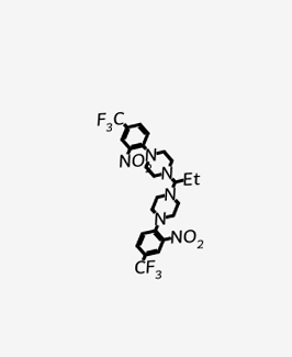 CCC(N1CCN(c2ccc(C(F)(F)F)cc2[N+](=O)[O-])CC1)N1CCN(c2ccc(C(F)(F)F)cc2[N+](=O)[O-])CC1